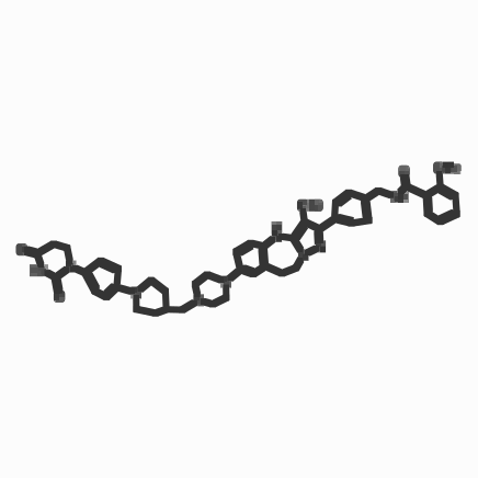 COc1ccccc1C(=O)NCc1ccc(-c2nn3c(c2C=O)Nc2ccc(N4CCN(CC5CCN(c6ccc(N7CCC(=O)NC7=O)cc6)CC5)CC4)cc2CC3)cc1